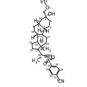 CCOC[C@@]1(O)CC[C@H]2[C@H](CC[C@@H]3[C@@H]2CC[C@]2(C)C([C@@H](C)NS(=O)(=O)c4ccc(C#N)cc4)CC[C@@H]32)C1